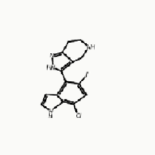 Fc1cc(Cl)c2[nH]ccc2c1-c1[nH]nc2c1CNCC2